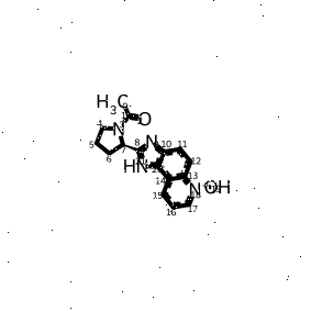 CC(=O)N1CCC[C@@H]1c1nc2ccc3c(ccc[n+]3O)c2[nH]1